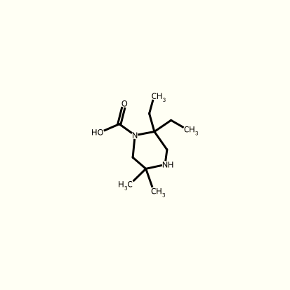 CCC1(CC)CNC(C)(C)CN1C(=O)O